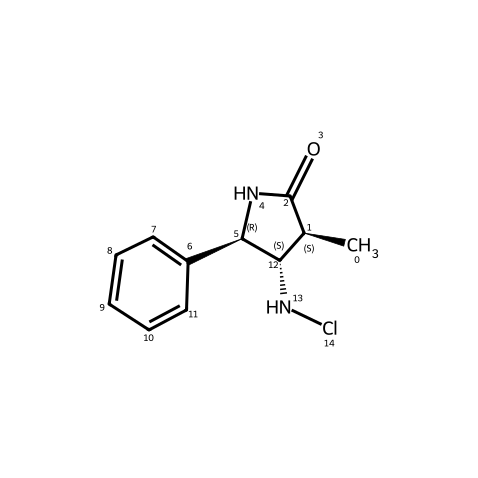 C[C@@H]1C(=O)N[C@H](c2ccccc2)[C@H]1NCl